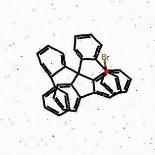 Brc1cccc2c1C(c1ccccc1-c1ccccc1)(c1ccccc1-c1ccccc1)c1ccccc1-2